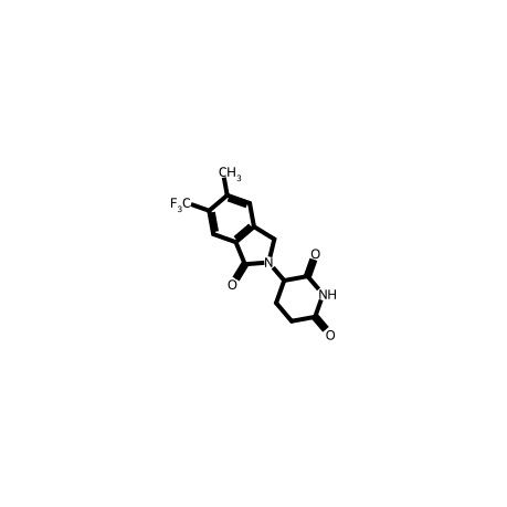 Cc1cc2c(cc1C(F)(F)F)C(=O)N(C1CCC(=O)NC1=O)C2